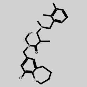 Cc1cccc(CN(C)CC(C)C(=O)N(Cc2cc(Cl)c3c(c2)CCCCO3)CC(C)C)c1C